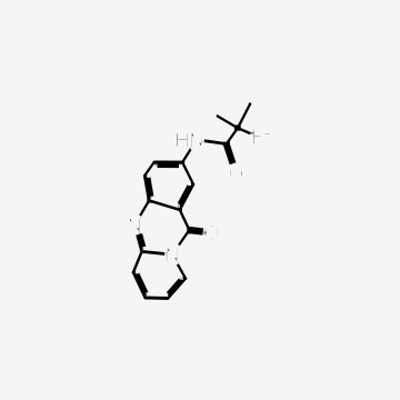 CCC(C)(C)C(=O)Nc1ccc2nc3ccccn3c(=O)c2c1